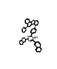 c1ccc(-c2cc3c(c4ccccc24)Cc2cccc(-c4ccc(C5N=C(c6ccc7ccccc7c6)N=C(c6ccc7ccccc7c6)N5)cc4)c2-3)cc1